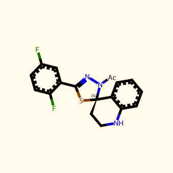 CC(=O)N1N=C(c2cc(F)ccc2F)S[C@]12CCNc1ccccc12